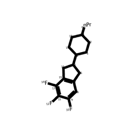 CCCC1CCC(C2Cc3cc(F)c(F)c(F)c3C2)CC1